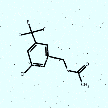 CC(=O)SCc1cc(Cl)cc(C(F)(F)F)c1